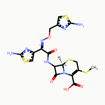 CSC1=C(C(=O)O)N2C(=O)C(NC(=O)/C(=N\OCc3csc(N)n3)c3csc(N)n3)[C@H]2SC1